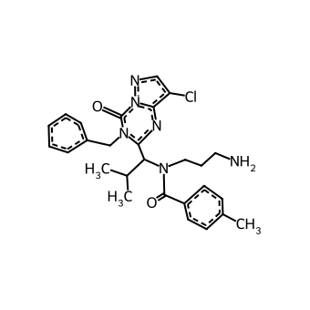 Cc1ccc(C(=O)N(CCCN)C(c2nc3c(Cl)cnn3c(=O)n2Cc2ccccc2)C(C)C)cc1